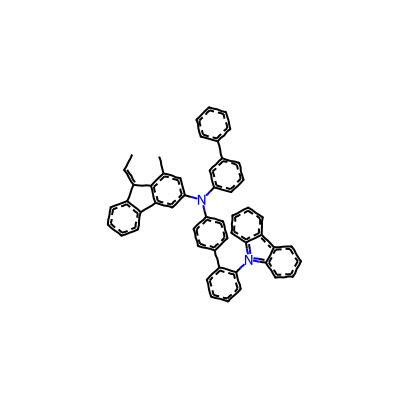 C/C=C1/c2ccccc2-c2cc(N(c3ccc(-c4ccccc4-n4c5ccccc5c5ccccc54)cc3)c3cccc(-c4ccccc4)c3)cc(C)c21